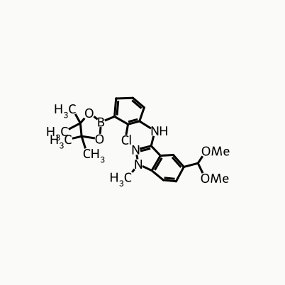 COC(OC)c1ccc2c(c1)c(Nc1cccc(B3OC(C)(C)C(C)(C)O3)c1Cl)nn2C